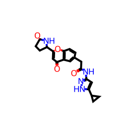 O=C(Cc1ccc2oc(C3CCC(=O)N3)cc(=O)c2c1)Nc1cc(C2CC2)[nH]n1